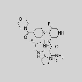 NC(N)C(C(=O)NC1CNCC(F)C1N1CCC(C(=O)N2CCOCC2)CC1)C1(C2CCCC2)NCC(F)CN1